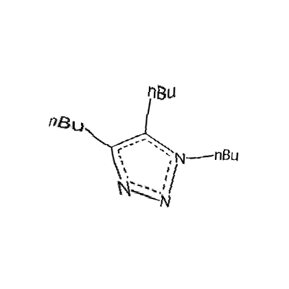 CCCCc1nnn(CCCC)c1CCCC